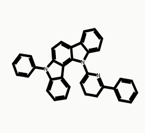 C1=C(n2c3ccccc3c3ccc4c(c5ccccc5n4-c4ccccc4)c32)N=C(c2ccccc2)CC1